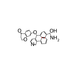 NC(O)c1ccc(C(Oc2ccc3c(c2)OCCC3=O)c2ccncc2-c2ccccc2)cc1